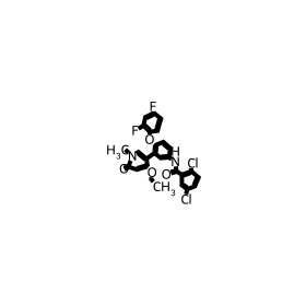 CCOc1cc(=O)n(C)cc1-c1cc(NC(=O)c2cc(Cl)ccc2Cl)ccc1Oc1ccc(F)cc1F